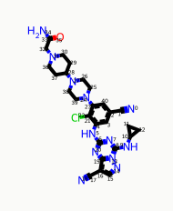 N#Cc1cc(Nc2nc(NC3CC3)n3ncc(C#N)c3n2)c(Cl)c(N2CCN(C3CCN(CC(N)=O)CC3)CC2)c1